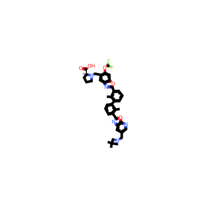 Cc1c(-c2nc3cc(CN4CCC[C@H]4C(=O)O)c(OC(F)F)cc3o2)cccc1-c1cccc(-c2nc3cc(CN4CC(C)(C)C4)cnc3o2)c1C